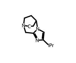 CC(C)c1cn2c(n1)CN1CCC2CC1